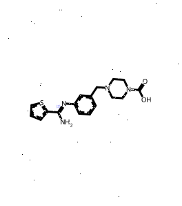 N/C(=N\c1cccc(CN2CCN(C(=O)O)CC2)c1)c1cccs1